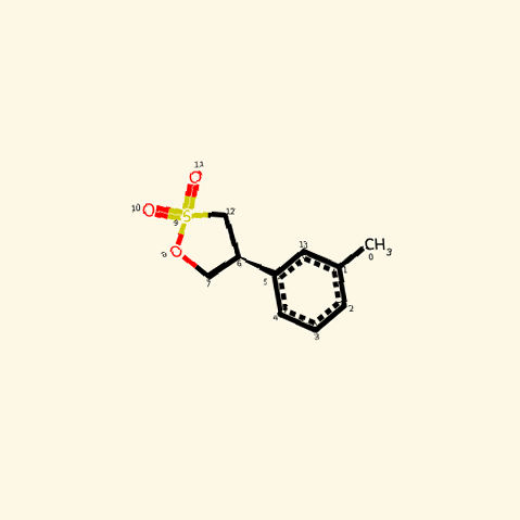 Cc1cccc([C@H]2COS(=O)(=O)C2)c1